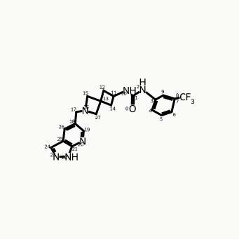 O=C(Nc1cccc(C(F)(F)F)c1)NC1CC2(C1)CN(Cc1cnc3[nH]ncc3c1)C2